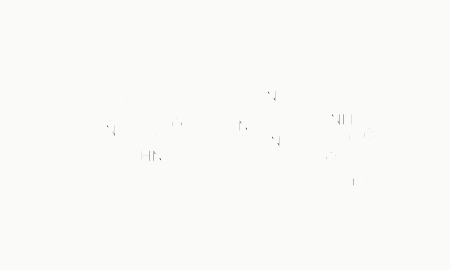 Cc1cnc(C(=O)Nc2cccc(-c3cn4cc(NC(=O)OC(C)C)cnc4n3)c2)s1